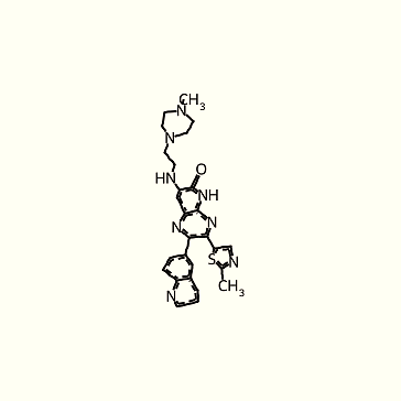 Cc1ncc(-c2nc3[nH]c(=O)c(NCCN4CCN(C)CC4)cc3nc2-c2ccc3ncccc3c2)s1